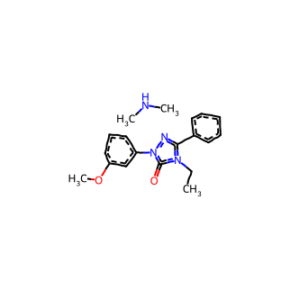 CCn1c(-c2ccccc2)nn(-c2cccc(OC)c2)c1=O.CNC